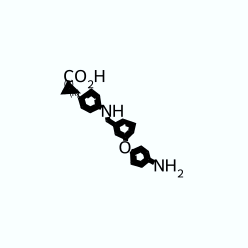 Nc1ccc(Oc2cccc(CNc3ccc([C@@H]4C[C@H]4C(=O)O)cc3)c2)cc1